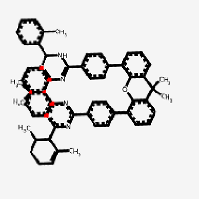 CC1=CCCC(C)C1c1nc(-c2ccc(-c3cccc4c3Oc3c(-c5ccc(C6=NC(c7ccccc7C)=NC(c7ccccc7C)N6)cc5)cccc3C4(C)C)cc2)nc(-c2ccccc2C)n1